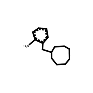 Nc1ccccc1CC1CCCCCCC1